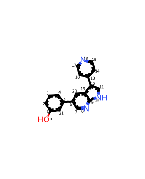 Oc1cccc(-c2cnc3[nH]cc(-c4ccncc4)c3c2)c1